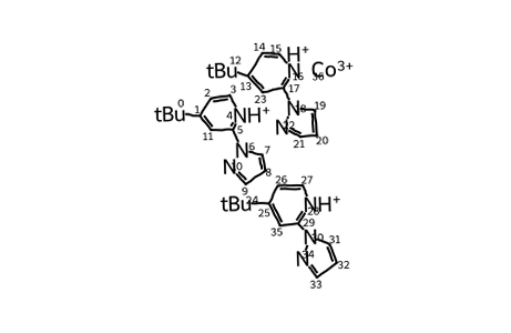 CC(C)(C)c1cc[nH+]c(-n2cccn2)c1.CC(C)(C)c1cc[nH+]c(-n2cccn2)c1.CC(C)(C)c1cc[nH+]c(-n2cccn2)c1.[Co+3]